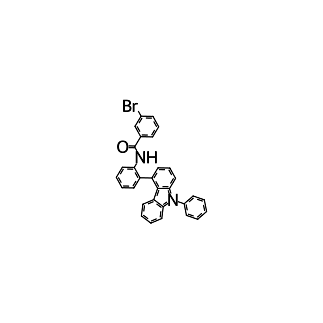 O=C(Nc1ccccc1-c1cccc2c1c1ccccc1n2-c1ccccc1)c1cccc(Br)c1